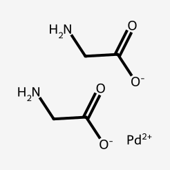 NCC(=O)[O-].NCC(=O)[O-].[Pd+2]